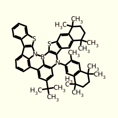 Cc1cc2c(cc1N1c3cc(C(C)(C)C)cc4c3B(c3sc5cc6c(cc5c31)C(C)(C)CCC6(C)C)n1c3sc5ccccc5c3c3cccc-4c31)C(C)(C)CCC2(C)C